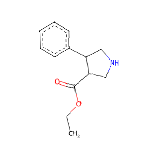 CCOC(=O)C1CNCC1c1ccccc1